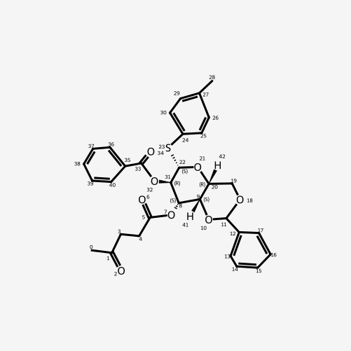 CC(=O)CCC(=O)O[C@H]1[C@H]2OC(c3ccccc3)OC[C@H]2O[C@@H](Sc2ccc(C)cc2)[C@@H]1OC(=O)c1ccccc1